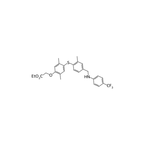 CCOC(=O)COc1cc(C)c(Sc2ccc(CNc3ccc(C(F)(F)F)cc3)cc2C)cc1C